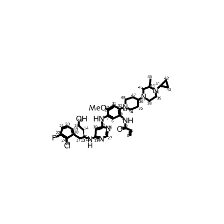 C=CC(=O)Nc1cc(Nc2cc(N[C@H](CCO)Cc3cccc(F)c3Cl)ncn2)c(OC)cc1N1CCC(N2CCN(C3CC3)C(C)C2)CC1